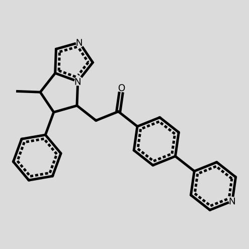 CC1c2cncn2C(CC(=O)c2ccc(-c3ccncc3)cc2)C1c1ccccc1